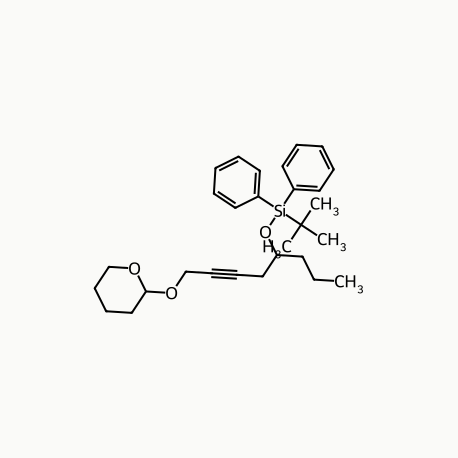 CCCC(CC#CCOC1CCCCO1)O[Si](c1ccccc1)(c1ccccc1)C(C)(C)C